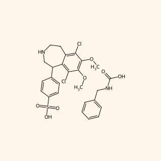 COc1c(Cl)c2c(c(Cl)c1OC)C(c1ccc(S(=O)(=O)O)cc1)CNCC2.O=C(O)NCc1ccccc1